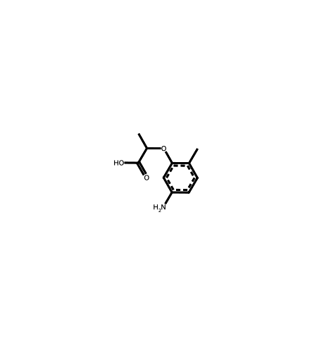 Cc1ccc(N)cc1OC(C)C(=O)O